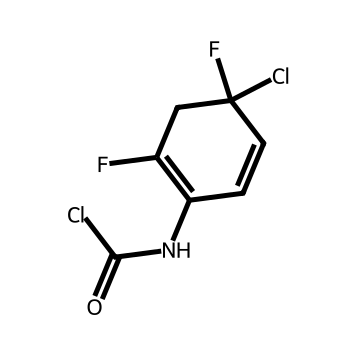 O=C(Cl)NC1=C(F)CC(F)(Cl)C=C1